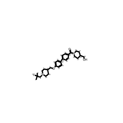 CC(C)(F)CN1CCC(COc2ccc(-c3ccc(C(=O)N4CCC(CO)CC4)cc3)cc2)CC1